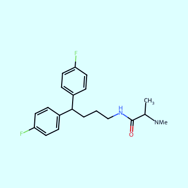 CNC(C)C(=O)NCCCC(c1ccc(F)cc1)c1ccc(F)cc1